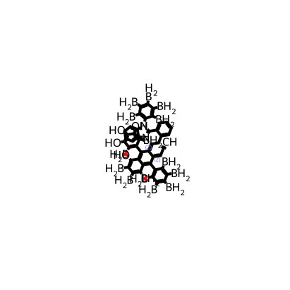 Bc1c(B)c(B)c(-c2c(=C/C#C)/c(=C\Cc3ccccc3-c3nc4ccccc4n3-c3c(B)c(B)c(B)c(B)c3B)c(-c3c(B)c(O)c(O)c(O)c3B)c3c(O)c(B)c(B)c(B)c23)c(B)c1B